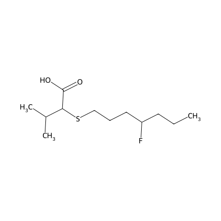 CCCC(F)CCCSC(C(=O)O)C(C)C